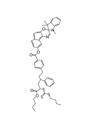 CCCCOC(=O)C(CC(CCc1ccc(C(=O)Oc2ccc3ccc4c(c3c2)N=CC2(O4)N(C)c3ccccc3C2(C)C)cc1)c1ccccc1)SC(=S)SCCCC